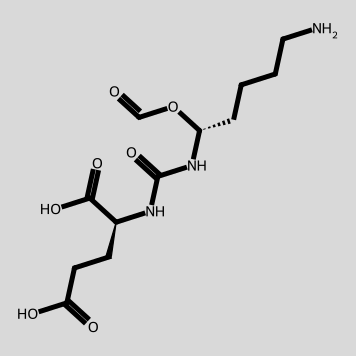 NCCCC[C@H](NC(=O)N[C@@H](CCC(=O)O)C(=O)O)OC=O